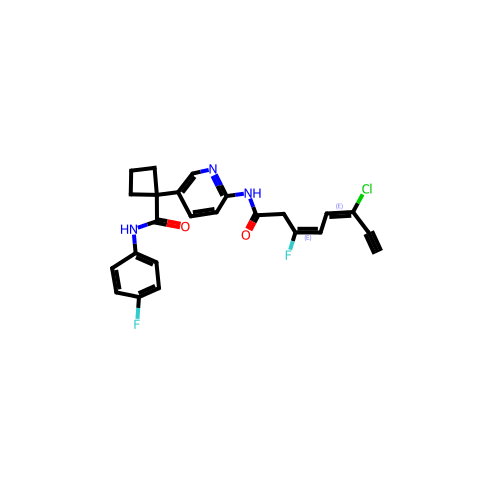 C#C/C(Cl)=C\C=C(\F)CC(=O)Nc1ccc(C2(C(=O)Nc3ccc(F)cc3)CCC2)cn1